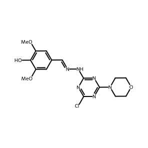 COc1cc(C=NNc2nc(Cl)nc(N3CCOCC3)n2)cc(OC)c1O